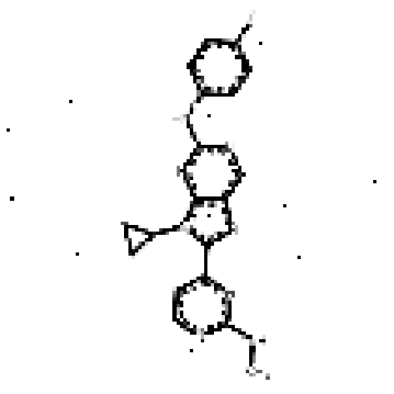 CNc1nccc(-c2nc3cnc(Nc4ccc(F)cc4)nc3n2C2CC2)n1